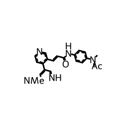 CN/C=C(\C=N)c1ccncc1/C=C/C(=O)Nc1ccc(N(C)C(C)=O)cc1